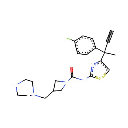 C#CC(C)(c1ccc(F)cc1)c1csc(NC(=O)N2CC(CN3CCNCC3)C2)n1